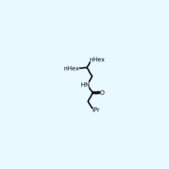 CCCCCCC(CCCCCC)CNC(=O)CC(C)C